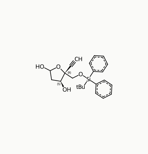 C#C[C@]1(CO[Si](c2ccccc2)(c2ccccc2)C(C)(C)C)OC(O)C[C@@H]1O